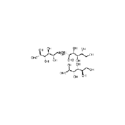 CC(=O)N[C@@H](C=O)[C@@H](O)[C@H](O)[C@H](O)CO.O=C[C@@H](O)[C@@H](O)[C@H](O)[C@H](O)CO.O=C[C@H](O)[C@@H](O)[C@@H](O)[C@H](O)CO